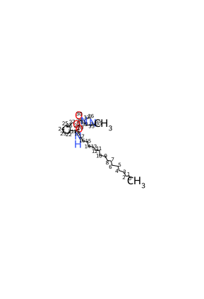 CCCCCCCCCCCCCCCCCCNC(=O)c1ccccc1COC(=O)N1CCN(C)CC1